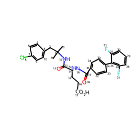 CC(C)(Cc1ccc(Cl)cc1)NC(=O)[C@H](CCC(=O)O)NC(=O)c1ccc(-c2c(F)cccc2F)cc1